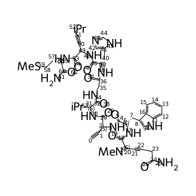 C#C[C@H](NC(=O)[C@H](Cc1c[nH]c2ccccc12)NC(=O)[C@H](C#CCC(N)=O)NC)C(=O)N[C@H](C(=O)NCC(=O)N[C@@H](Cc1cnc[nH]1)C(=O)NC(C#CC(C)C)C(=O)N[C@@H](CCSC)C(N)=O)C(C)C